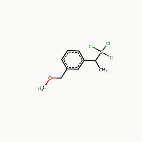 COCc1cccc(C(C)[Si](Cl)(Cl)Cl)c1